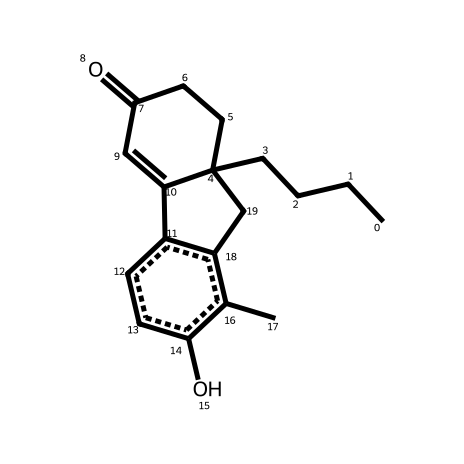 CCCCC12CCC(=O)C=C1c1ccc(O)c(C)c1C2